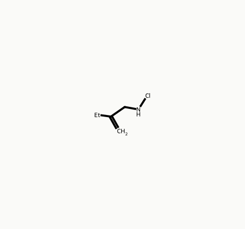 C=C(CC)CNCl